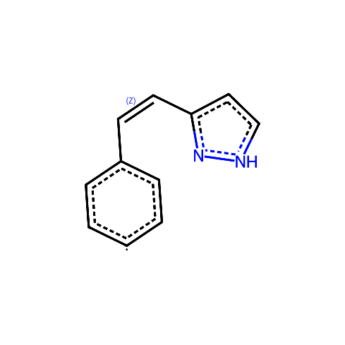 [c]1ccc(/C=C\c2cc[nH]n2)cc1